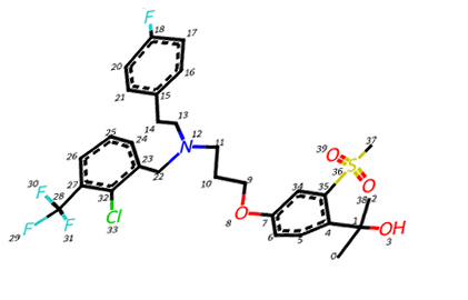 CC(C)(O)c1ccc(OCCCN(CCc2ccc(F)cc2)Cc2cccc(C(F)(F)F)c2Cl)cc1S(C)(=O)=O